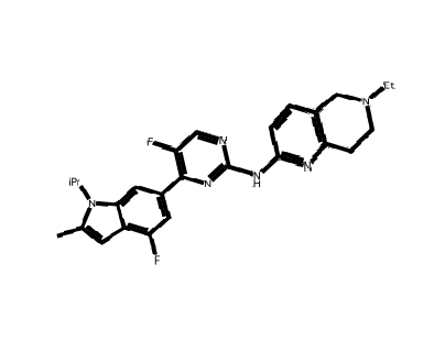 CCN1CCc2nc(Nc3ncc(F)c(-c4cc(F)c5cc(C)n(C(C)C)c5c4)n3)ccc2C1